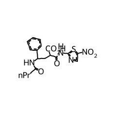 CCCC(=O)NC(CC(C(=O)O)C(=O)Nc1ncc([N+](=O)[O-])s1)c1ccccc1